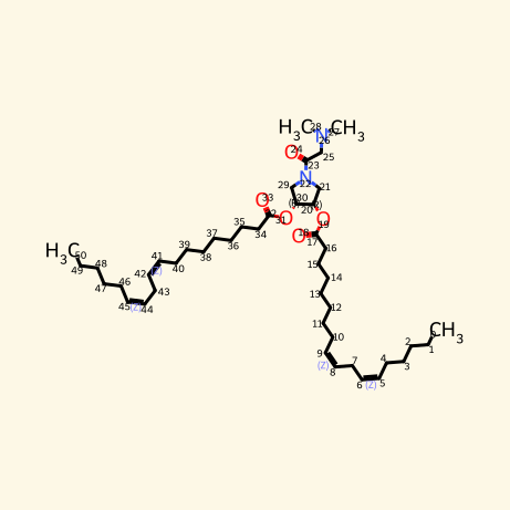 CCCCC/C=C\C/C=C\CCCCCCCC(=O)O[C@@H]1CN(C(=O)CN(C)C)C[C@H]1OC(=O)CCCCCCC/C=C\C/C=C\CCCCC